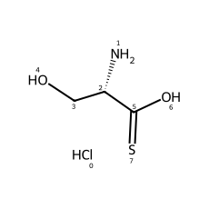 Cl.N[C@@H](CO)C(O)=S